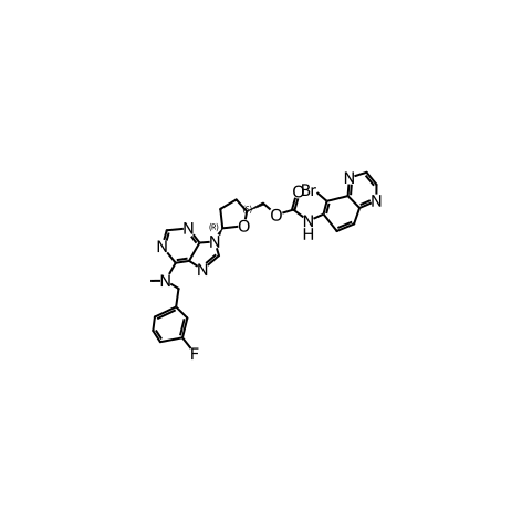 CN(Cc1cccc(F)c1)c1ncnc2c1ncn2[C@H]1CC[C@@H](COC(=O)Nc2ccc3nccnc3c2Br)O1